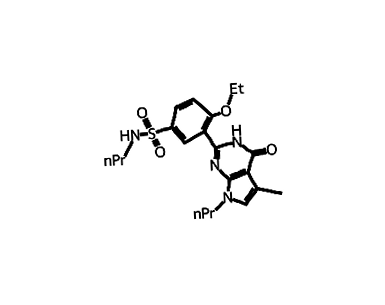 CCCNS(=O)(=O)c1ccc(OCC)c(-c2nc3c(c(C)cn3CCC)c(=O)[nH]2)c1